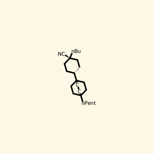 CCCCCC12CCC([C@H]3CC[C@@](C#N)(CCCC)CC3)(CC1)CC2